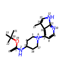 C=C(NC1CCN(c2ccnc3[nH]cc(C)c23)CC1)OC(C)(C)C